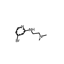 CN(C)CCNc1cc(Br)ccn1